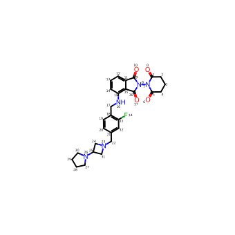 O=C1CCCC(=O)N1N1C(=O)c2cccc(NCc3ccc(CN4CC(N5CCCC5)C4)cc3F)c2C1=O